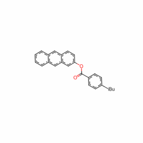 CCC(C)c1ccc(C(=O)Oc2ccc3cc4ccccc4cc3c2)cc1